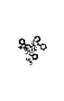 CC(Cc1c[nH]c2ccccc12)(NS(=O)(=O)Cc1ccccc1[N+](=O)[O-])C(=O)NC(c1ccccn1)C1CCCCC1